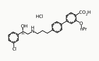 CCCOc1cc(-c2ccc(CCCNC[C@H](O)c3cccc(Cl)c3)cc2)ccc1C(=O)O.Cl